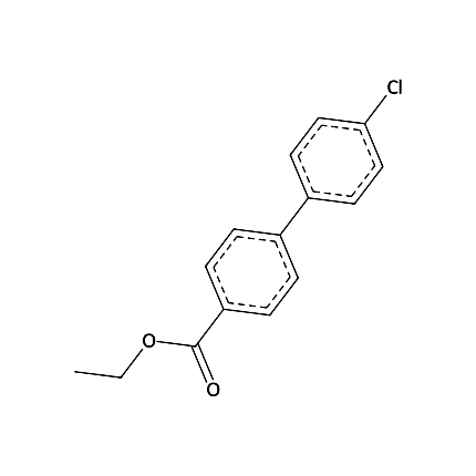 CCOC(=O)c1ccc(-c2ccc(Cl)cc2)cc1